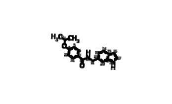 CC(C)Oc1ccc(C(=O)NCc2ccc3cc[nH]c3c2)cc1